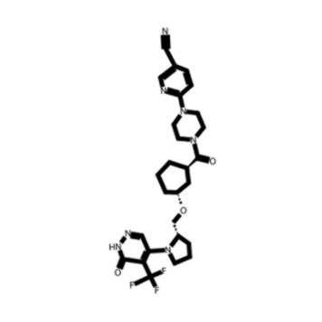 N#Cc1ccc(N2CCN(C(=O)[C@@H]3CCC[C@@H](OC[C@@H]4CCCN4c4cn[nH]c(=O)c4C(F)(F)F)C3)CC2)nc1